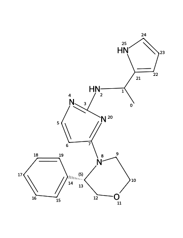 CC(Nc1nccc(N2CCOC[C@@H]2c2ccccc2)n1)c1ccc[nH]1